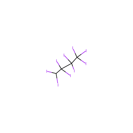 IC(I)C(I)(I)C(I)(I)C(I)(I)I